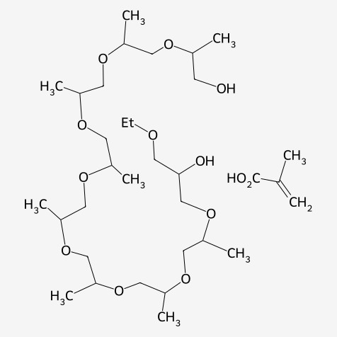 C=C(C)C(=O)O.CCOCC(O)COC(C)COC(C)COC(C)COC(C)COC(C)COC(C)COC(C)COC(C)CO